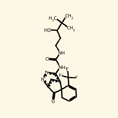 CC(C)(C)C(O)CCNC(=O)Nc1nnc2cc1C1(CC=CC=C1C(F)(F)F)C2=O